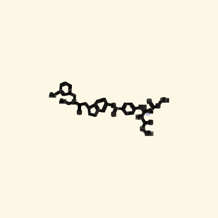 CC(=O)CN(Cc1cccc(C(C)=O)c1)C(=O)CC1CCc2cc(OC(=O)c3ccc(N/C(=N\C(=O)OC(C)(C)C)NC(=O)OC(C)(C)C)cc3)ccc21